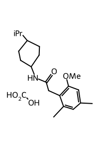 COc1cc(C)cc(C)c1CC(=O)NC1CCC(C(C)C)CC1.O=C(O)O